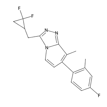 Cc1cc(F)ccc1-c1ccn2c(CC3CC3(F)F)nnc2c1C